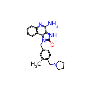 Cc1cc(Cn2c(=O)[nH]c3c(N)nc4ccccc4c32)ccc1CN1CCCC1